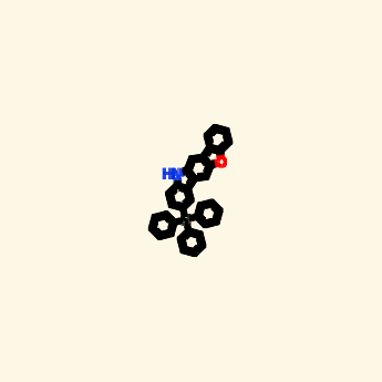 c1ccc([Si](c2ccccc2)(c2ccccc2)c2ccc3[nH]c4cc5c(cc4c3c2)oc2ccccc25)cc1